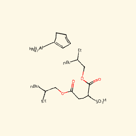 CCCCC(CC)COC(=O)CC(C(=O)OCC(CC)CCCC)S(=O)(=O)O.[AlH2][C]1=CC=CC1.[NaH]